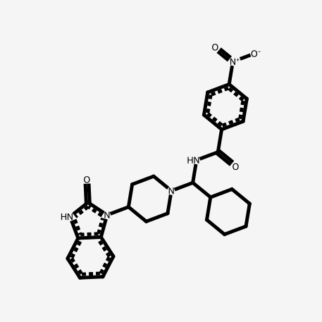 O=C(NC(C1CCCCC1)N1CCC(n2c(=O)[nH]c3ccccc32)CC1)c1ccc([N+](=O)[O-])cc1